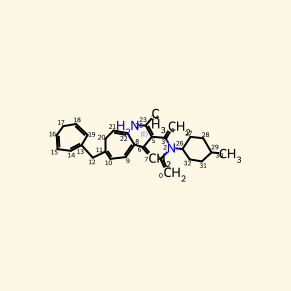 C=CN(C(=C)/C(C(=C)C1=CC=C(CC2=CC=CCC=C2)CC=C1)=C(\C)N)C1CCC(C)CC1